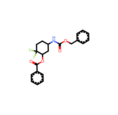 O=C(NC1CCC(F)(F)C(OC(=O)c2ccccc2)C1)OCc1ccccc1